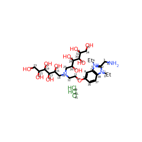 CCn1c(CN)[n+](CC)c2cc(OCCN(CC(O)C(O)C(O)C(O)CO)CC(O)C(O)C(O)C(O)CO)ccc21.Cl.Cl.[Cl-]